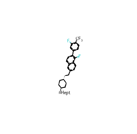 CCCCCCC[C@H]1CC[C@H](CCc2ccc3c(F)c(-c4ccc(C(F)(F)F)c(F)c4)ccc3c2)CC1